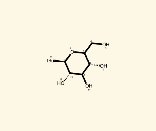 CC(C)(C)[C@H]1OC(CO)[C@H](O)C(O)[C@@H]1O